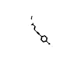 CCOC(=O)/C=C/C#Cc1ccc(C#N)cc1